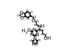 Cc1nc(C(CCCO)NCCOCc2ccc3c(c2)OCO3)nc(-n2ccnc2)n1